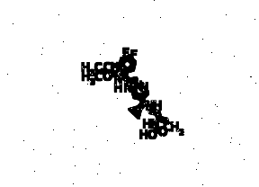 CCC(CCNC(c1cnn2cc(C(NC(=O)OC(C)(C)C)C3CCC(F)(F)CC3)nc2c1)C1CC1)NC(=O)O